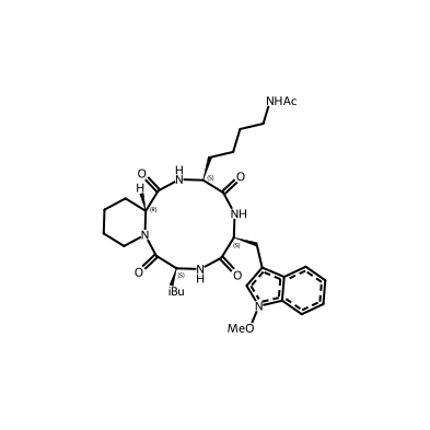 CCC(C)[C@@H]1NC(=O)[C@H](Cc2cn(OC)c3ccccc23)NC(=O)[C@H](CCCCNC(C)=O)NC(=O)[C@H]2CCCCN2C1=O